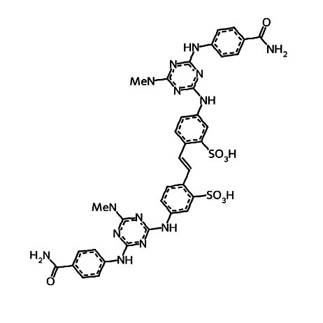 CNc1nc(Nc2ccc(C(N)=O)cc2)nc(Nc2ccc(/C=C/c3ccc(Nc4nc(NC)nc(Nc5ccc(C(N)=O)cc5)n4)cc3S(=O)(=O)O)c(S(=O)(=O)O)c2)n1